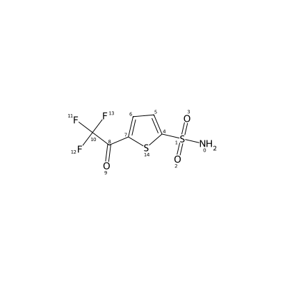 NS(=O)(=O)c1ccc(C(=O)C(F)(F)F)s1